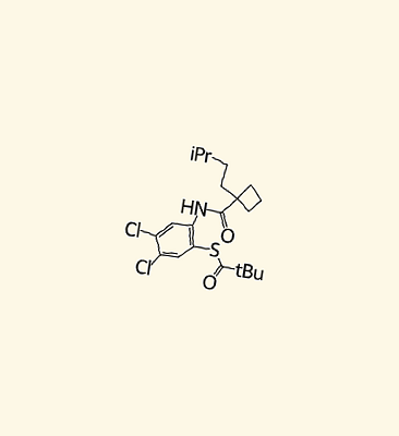 CC(C)CCC1(C(=O)Nc2cc(Cl)c(Cl)cc2SC(=O)C(C)(C)C)CCC1